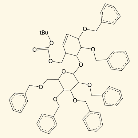 CC(C)(C)OC(=O)OCC1C=CC(OCc2ccccc2)C(OCc2ccccc2)C1OC1OC(COCc2ccccc2)C(OCc2ccccc2)C(OCc2ccccc2)C1OCc1ccccc1